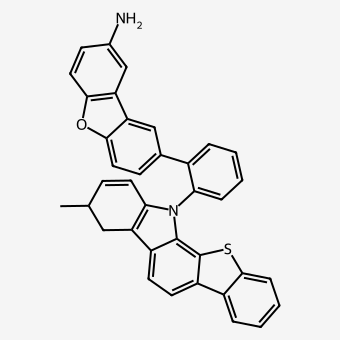 CC1C=Cc2c(c3ccc4c5ccccc5sc4c3n2-c2ccccc2-c2ccc3oc4ccc(N)cc4c3c2)C1